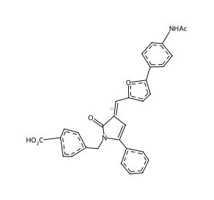 CC(=O)Nc1ccc(-c2ccc(/C=C3\C=C(c4ccccc4)N(Cc4ccc(C(=O)O)cc4)C3=O)o2)cc1